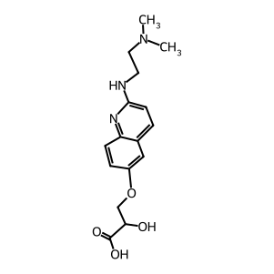 CN(C)CCNc1ccc2cc(OCC(O)C(=O)O)ccc2n1